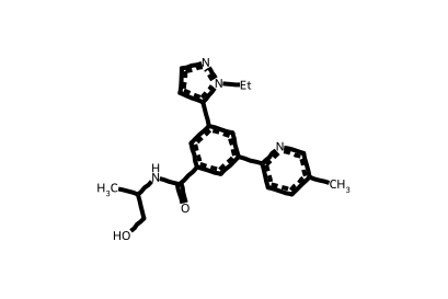 CCn1nccc1-c1cc(C(=O)NC(C)CO)cc(-c2ccc(C)cn2)c1